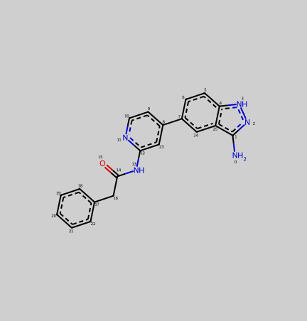 Nc1n[nH]c2ccc(-c3ccnc(NC(=O)Cc4ccccc4)c3)cc12